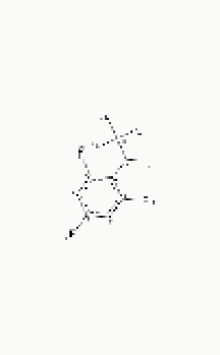 CC(c1c(F)cc(F)cc1F)C(C)(C)C